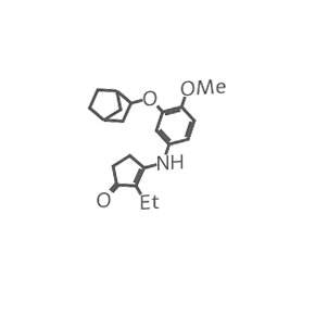 CCC1=C(Nc2ccc(OC)c(OC3CC4CCC3C4)c2)CCC1=O